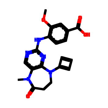 COc1cc(C(=O)O)ccc1Nc1ncc2c(n1)N(C1=CC=C1)CCC(=O)N2C